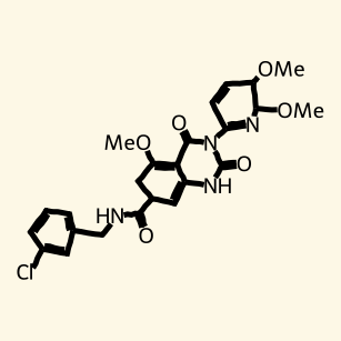 COC1=c2c([nH]c(=O)n(C3=NC(OC)C(OC)C=C3)c2=O)=CC(C(=O)NCc2cccc(Cl)c2)C1